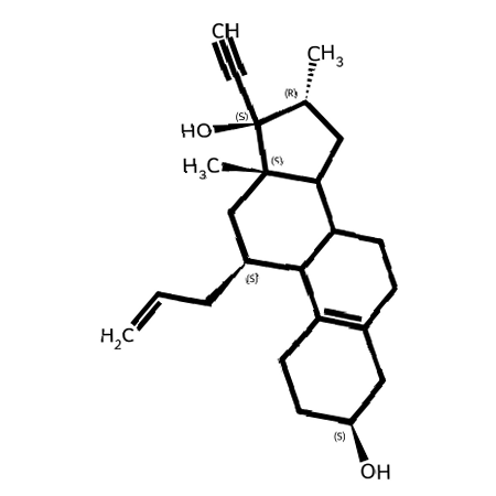 C#C[C@]1(O)[C@H](C)CC2C3CCC4=C(CC[C@H](O)C4)C3[C@@H](CC=C)C[C@@]21C